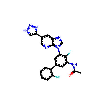 CC(=O)Nc1cc(-c2ccccc2F)cc(-n2cnc3cc(-c4c[nH]nn4)cnc32)c1F